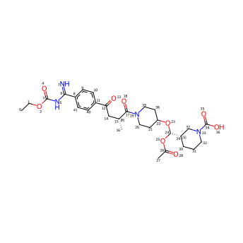 CCOC(=O)NC(=N)c1ccc(C(=O)C[C@@H](C)C(=O)N2CCC(OC(OC(C)=O)[C@H]3CCCN(C(=O)O)C3)CC2)cc1